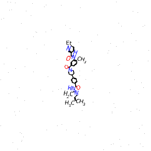 C=C(/N=C\C=C(C)C)NC(=O)c1ccc(C2CCN(C(=O)c3ccc(C)c(NC(=O)c4ccc(CC)nc4)c3)CC2)cc1